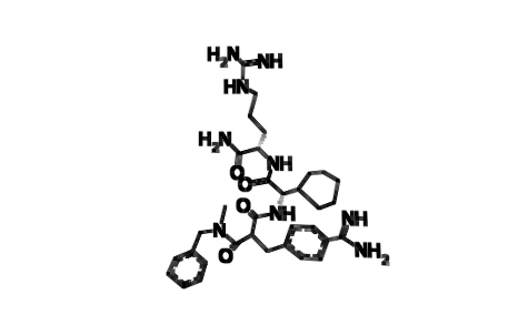 CN(Cc1ccccc1)C(=O)C(Cc1ccc(C(=N)N)cc1)C(=O)N[C@H](C(=O)N[C@@H](CCCNC(=N)N)C(N)=O)C1CCCCC1